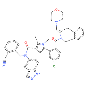 Cc1c(C(=O)N(Cc2ccccc2C#N)c2ccc3[nH]ncc3c2)cc(-c2cc(Cl)ccc2C(=O)N2Cc3ccccc3C[C@H]2CN2CCOCC2)n1C